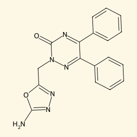 Nc1nnc(Cn2nc(-c3ccccc3)c(-c3ccccc3)nc2=O)o1